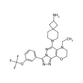 CCN1CCOc2c1c(N1CCC3(CC1)CC(N)C3)nn1c(-c3cccc(OC(F)(F)F)c3)nnc21